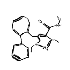 CCNC(=O)c1c(C)nn(C)c1-c1ccccc1-c1ccccc1